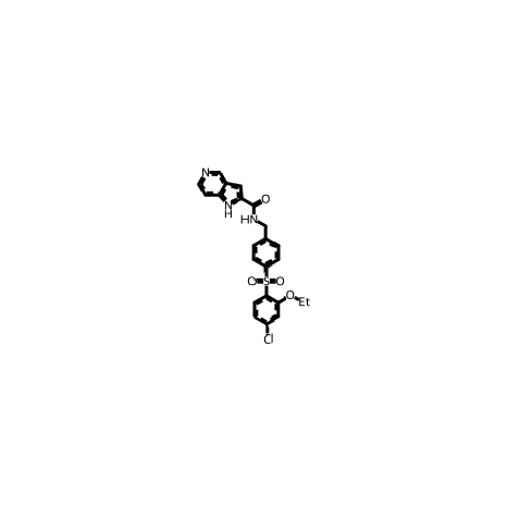 CCOc1cc(Cl)ccc1S(=O)(=O)c1ccc(CNC(=O)c2cc3cnccc3[nH]2)cc1